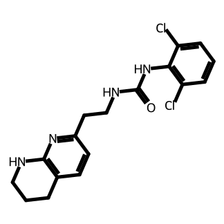 O=C(NCCc1ccc2c(n1)NCCC2)Nc1c(Cl)cccc1Cl